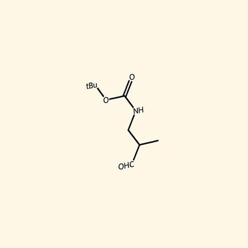 CC(C=O)CNC(=O)OC(C)(C)C